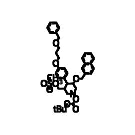 CC(C)(C)OC(=O)ON1CC(COS(C)(=O)=O)C(c2ccc(OCCCOCc3ccccc3)cc2)C(OCc2ccc3ccccc3c2)C1